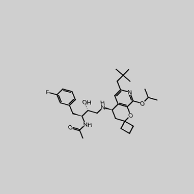 CC(=O)N[C@@H](Cc1cccc(F)c1)[C@H](O)CN[C@@H]1CC2(CCC2)Oc2c1cc(CC(C)(C)C)nc2OC(C)C